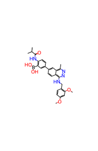 COc1ccc(CNc2nnc(C)c3cc(-c4ccc(NC(=O)C(C)C)c(B(O)O)c4)ccc23)c(OC)c1